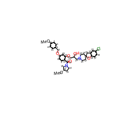 COc1ccc(COc2ccc(C(=O)N3CC[C@H](OC)C3)c(OC[C@@H](O)CN3CCC4(CC3)Cc3cc(Cl)ccc3O4)c2)cc1